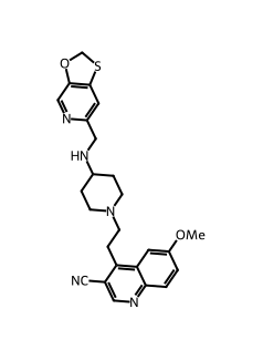 COc1ccc2ncc(C#N)c(CCN3CCC(NCc4cc5c(cn4)OCS5)CC3)c2c1